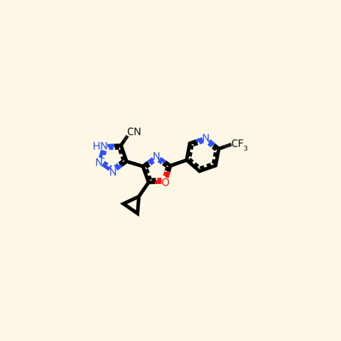 N#Cc1[nH]nnc1-c1nc(-c2ccc(C(F)(F)F)nc2)oc1C1CC1